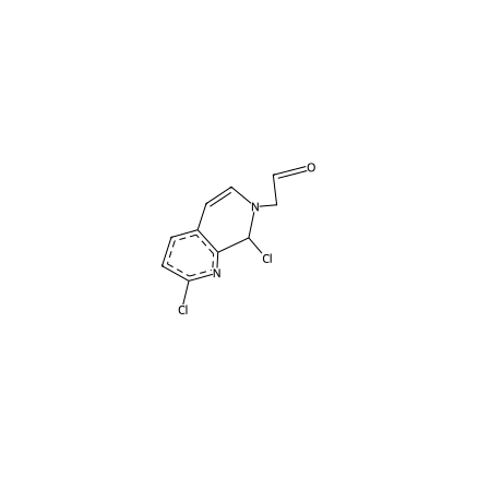 O=CCN1C=Cc2ccc(Cl)nc2C1Cl